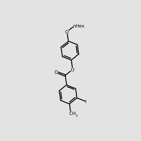 CCCCCCOc1ccc(OC(=O)c2ccc(C)c(I)c2)cc1